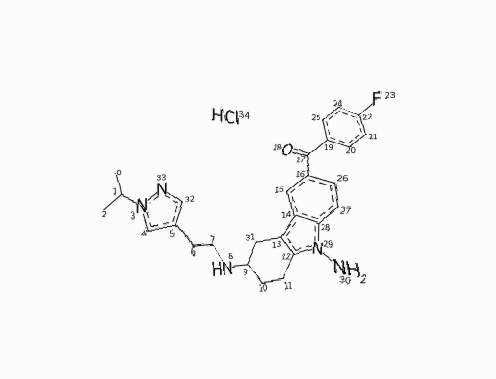 CC(C)n1cc(CCNC2CCc3c(c4cc(C(=O)c5ccc(F)cc5)ccc4n3N)C2)cn1.Cl